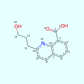 O=C(O)c1cccc2ccc(CCCO)nc12